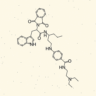 CCCC(CCNc1ccc(C(=O)NCCN(CC)CC)cc1)NC(=O)C(Cc1c[nH]c2ccccc12)N1C(=O)c2ccccc2C1=O